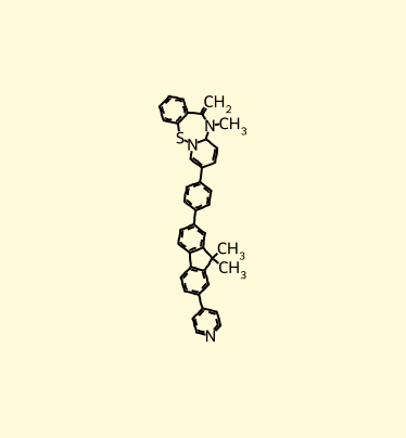 C=C1c2ccccc2SN2C=C(c3ccc(-c4ccc5c(c4)C(C)(C)c4cc(-c6ccncc6)ccc4-5)cc3)C=CC2N1C